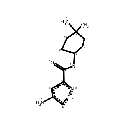 CC1(C)CCC(NC(=O)c2cc(N)ccn2)CC1